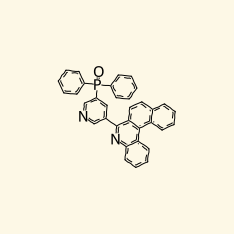 O=P(c1ccccc1)(c1ccccc1)c1cncc(-c2nc3ccccc3c3c2ccc2ccccc23)c1